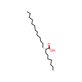 CCCCCCCCCCCCC[C@@H](CCCCCCC)C(=O)O